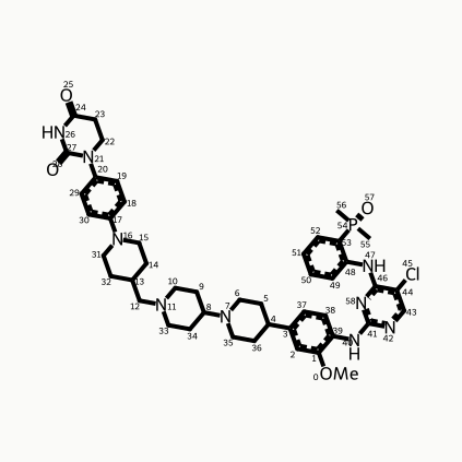 COc1cc(C2CCN(C3CCN(CC4CCN(c5ccc(N6CCC(=O)NC6=O)cc5)CC4)CC3)CC2)ccc1Nc1ncc(Cl)c(Nc2ccccc2P(C)(C)=O)n1